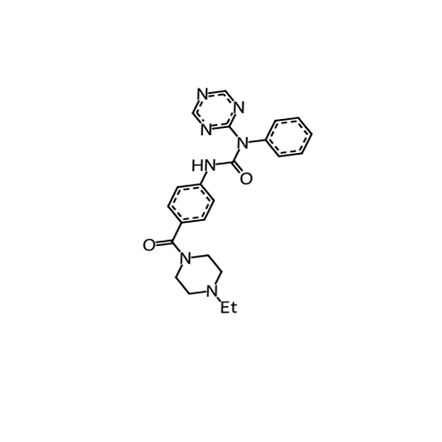 CCN1CCN(C(=O)c2ccc(NC(=O)N(c3ccccc3)c3ncncn3)cc2)CC1